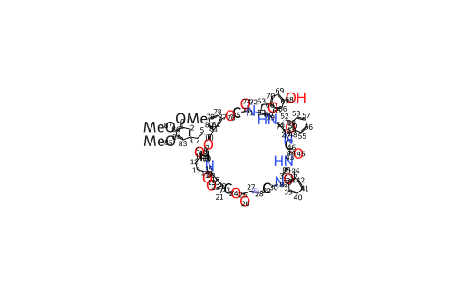 COc1cc(CC[C@H]2OC(=O)[C@@H]3CCCCN3C(=O)C(=O)C(C)(C)COC(=O)/C=C/CCN(C)C(=O)[C@@H](Cc3ccccc3)NC(=O)CN(C)C(=O)[C@@H](Cc3ccccc3)NC(=O)[C@H](Cc3ccc(O)cc3)N(C)C(=O)COc3cccc2c3)cc(OC)c1OC